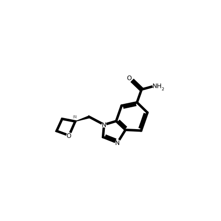 NC(=O)c1ccc2ncn(C[C@@H]3CCO3)c2c1